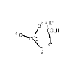 CC(=O)O.[K+].[O-][Cl+2]([O-])[O-]